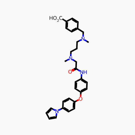 CN(CCCN(C)Cc1ccc(C(=O)O)cc1)CC(=O)Nc1ccc(Oc2ccc(-n3cccc3)cc2)cc1